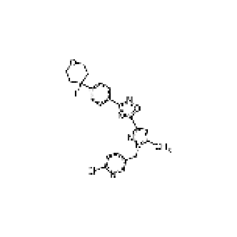 Cc1cc(-c2nc(-c3ccc(C4(F)CCOCC4)cc3)no2)nn1Cc1ccc(Cl)nc1